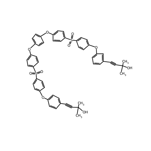 CC(C)(O)C#Cc1ccc(Oc2ccc(S(=O)(=O)c3ccc(Oc4ccc(Oc5ccc(S(=O)(=O)c6ccc(Oc7cccc(C#CC(C)(C)O)c7)cc6)cc5)cc4)cc3)cc2)cc1